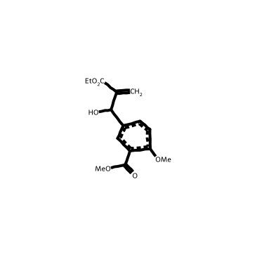 C=C(C(=O)OCC)C(O)c1ccc(OC)c(C(=O)OC)c1